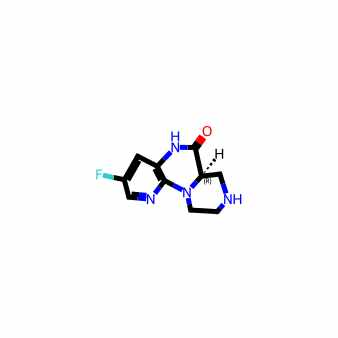 O=C1Nc2cc(F)cnc2N2CCNC[C@H]12